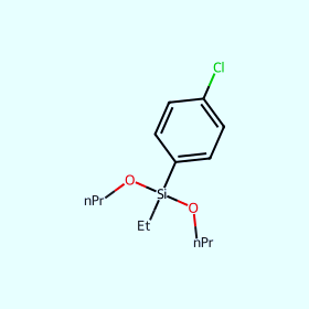 CCCO[Si](CC)(OCCC)c1ccc(Cl)cc1